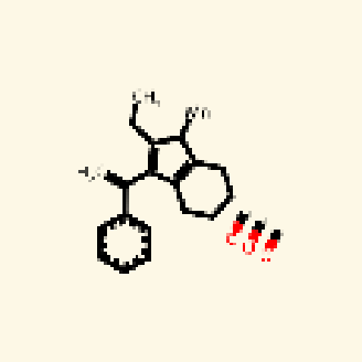 C=C(C1=C(CC)[CH]([Mn])C2=C1CCCC2)c1ccccc1.[C]=O.[C]=O.[C]=O